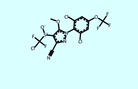 COc1c([S+]([O-])C(F)(F)Cl)c(C#N)nn1-c1c(Cl)cc(OC(F)(F)F)cc1Cl